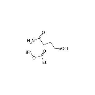 CCC(=O)OC(C)C.CCCCCCCCCCCC(N)=O